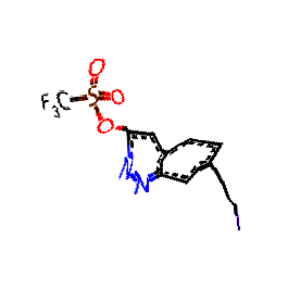 O=S(=O)(Oc1cc2ccc(CI)cc2nn1)C(F)(F)F